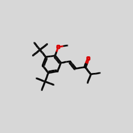 COc1c(C=CC(=O)C(C)C)cc(C(C)(C)C)cc1C(C)(C)C